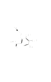 Bc1c(Br)cc(C(=O)OC)c(OCC#N)c1B